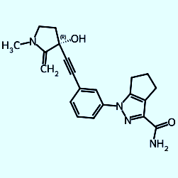 C=C1N(C)CC[C@@]1(O)C#Cc1cccc(-n2nc(C(N)=O)c3c2CCC3)c1